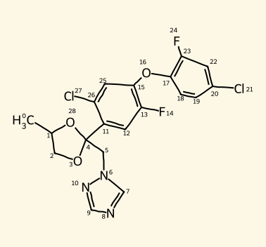 CC1COC(Cn2cncn2)(c2cc(F)c(Oc3ccc(Cl)cc3F)cc2Cl)O1